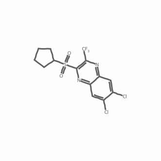 O=S(=O)(c1nc2cc(Cl)c(Cl)cc2nc1C(F)(F)F)C1CCCC1